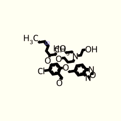 CC/C=C\CC(Oc1cc(OCc2ccc3nonc3c2)c(C=O)cc1Cl)C(C)OCCCN(CCO)CCO